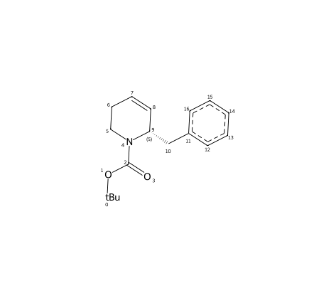 CC(C)(C)OC(=O)N1CCC=C[C@@H]1Cc1ccccc1